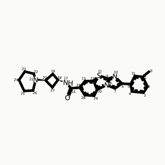 Cc1cccc(-c2cn3c(n2)sc2cc(C(=O)N[C@H]4C[C@H](N5CCCCC5)C4)ccc23)c1